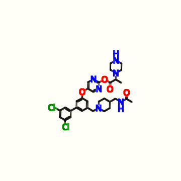 CC(=O)NCC1CCN(Cc2cc(Oc3cnc(OC(=O)C(C)N4CCNCC4)nc3)cc(-c3cc(Cl)cc(Cl)c3)c2)CC1